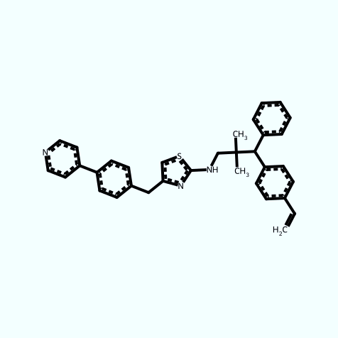 C=Cc1ccc(C(c2ccccc2)C(C)(C)CNc2nc(Cc3ccc(-c4ccncc4)cc3)cs2)cc1